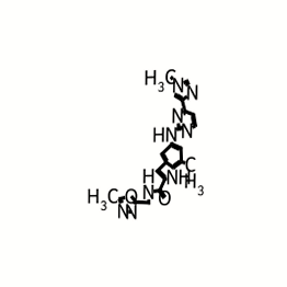 Cc1nnc(CNC(=O)c2cc3cc(Nc4nccc(-c5cn(C)cn5)n4)cc(C)c3[nH]2)o1